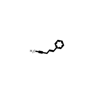 CC#CCC=Cc1ccccc1